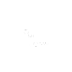 CNc1ccc2c(c1)CC(CNc1ccc3c(c1)CCCC3)CO2